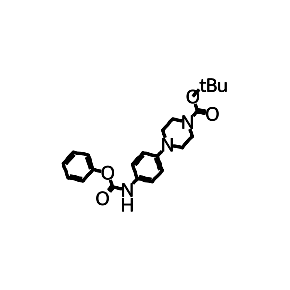 CC(C)(C)OC(=O)N1CCN(c2ccc(NC(=O)Oc3ccccc3)cc2)CC1